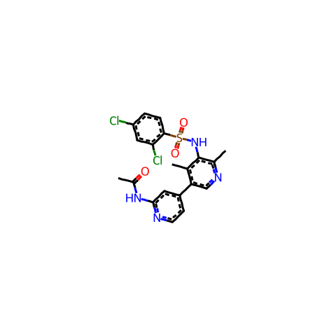 CC(=O)Nc1cc(-c2cnc(C)c(NS(=O)(=O)c3ccc(Cl)cc3Cl)c2C)ccn1